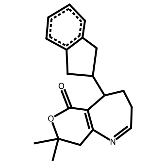 CC1(C)CC2=C(C(=O)O1)C(C1Cc3ccccc3C1)CCC=N2